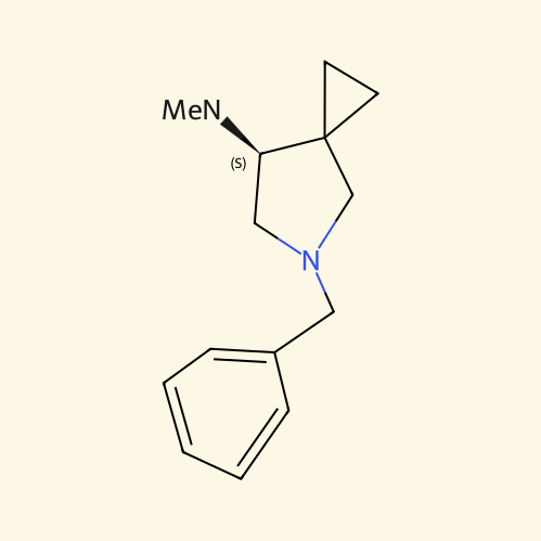 CN[C@@H]1CN(Cc2ccccc2)CC12CC2